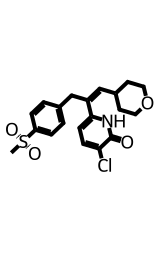 CS(=O)(=O)c1ccc(CC(=CC2CCOCC2)c2ccc(Cl)c(=O)[nH]2)cc1